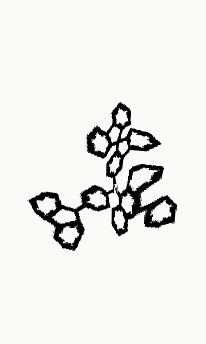 c1ccc(-c2c3ccccc3c(N(c3ccc(C4c5ccccc5-c5ccccc54)cc3)c3ccc4c(c3)-c3ccccc3C43c4ccccc4-c4ccccc43)c3ccccc23)cc1